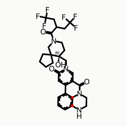 O=C(c1cn(C[C@@]2(O)CCN(C(=O)C(CC(F)(F)F)CC(F)(F)F)CC23CCCC3)c(=O)cc1-c1ccccc1)N1CCNCC1